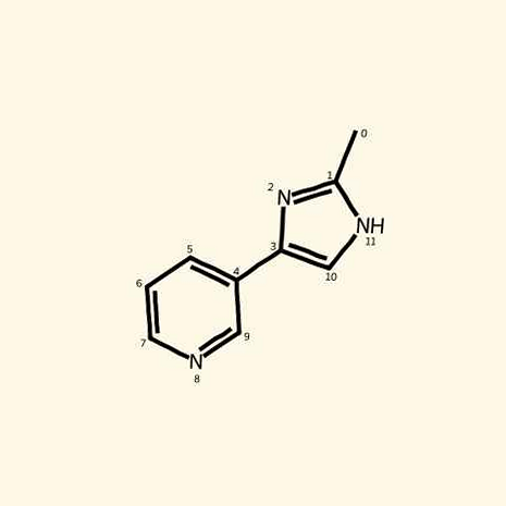 Cc1nc(-c2cccnc2)c[nH]1